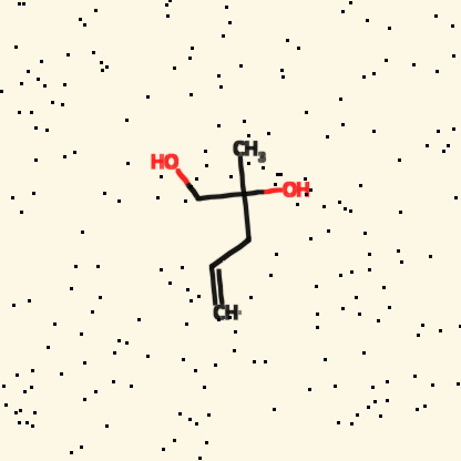 [CH]=CCC(C)(O)CO